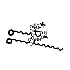 CCCCCCCCCCCCC(OC(=O)CCCCCCc1ccccc1)C(=O)N[C@H]1C(O[SiH](C)C)O[C@H](COC(C)(C)C)[C@@H](OS(=O)(=O)O)[C@@H]1OC(=O)CCCCCCc1ccccc1